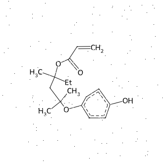 C=CC(=O)OC(C)(CC)CC(C)(C)Oc1ccc(O)cc1